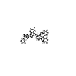 NO[C@@H](COc1ccccc1C(=O)NOC(=O)N1CCCCC1)C(=O)OC(c1ccccc1)c1ccccc1